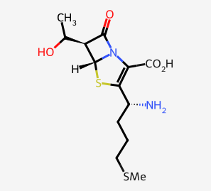 CSCCC[C@@H](N)C1=C(C(=O)O)N2C(=O)[C@H](C(C)O)[C@H]2S1